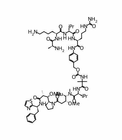 CC[C@H](C)[C@@H]([C@@H](CC(=O)N1CCC[C@H]1[C@H](OC)[C@@H](C)C(=O)N[C@@H](Cc1ccccc1)c1nccs1)OC)N(C)C(=O)[C@@H](NC(=O)C(C)(C)NC(=O)OCc1ccc(NC(=O)[C@H](CCCNC(N)=O)NC(=O)[C@@H](NC(=O)[C@H](CCCCN)NC(=O)[C@H](C)N)C(C)C)cc1)C(C)C